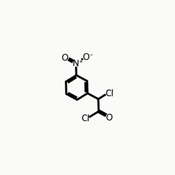 O=C(Cl)C(Cl)c1cccc([N+](=O)[O-])c1